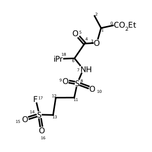 CCOC(=O)C(C)OC(=O)C(NS(=O)(=O)CCCS(=O)(=O)F)C(C)C